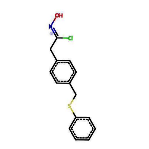 O/N=C(\Cl)Cc1ccc(CSc2ccccc2)cc1